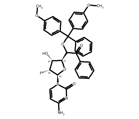 COc1ccc(C(OC(C(=O)c2ccccc2)[C@H]2O[C@@H](n3ccc(N)nc3=O)[C@H](F)[C@@H]2O)(c2ccccc2)c2ccc(OC)cc2)cc1